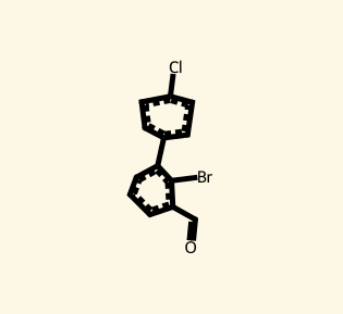 O=Cc1cccc(-c2ccc(Cl)cc2)c1Br